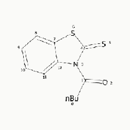 CCCCC(=O)n1c(=S)sc2ccccc21